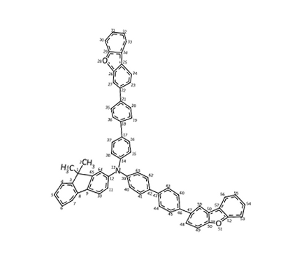 CC1(C)c2ccccc2-c2ccc(N(c3ccc(-c4ccc(-c5ccc6c(c5)oc5ccccc56)cc4)cc3)c3ccc(-c4ccc(-c5ccc6oc7ccccc7c6c5)cc4)cc3)cc21